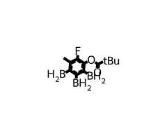 Bc1c(B)c(C)c(F)c(OC(=O)C(C)(C)C)c1B